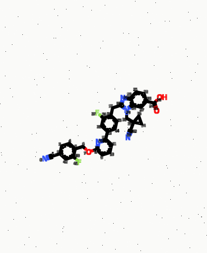 N#Cc1ccc(COc2cccc(-c3ccc(Cc4nc5ccc(C(=O)O)cc5n4CC4(C#N)CC4)c(F)c3)n2)c(F)c1